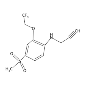 C#CCNc1ccc(S(C)(=O)=O)cc1OCC(F)(F)F